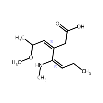 CC/C=C(NC)\C(=C/C(C)OC)CC(=O)O